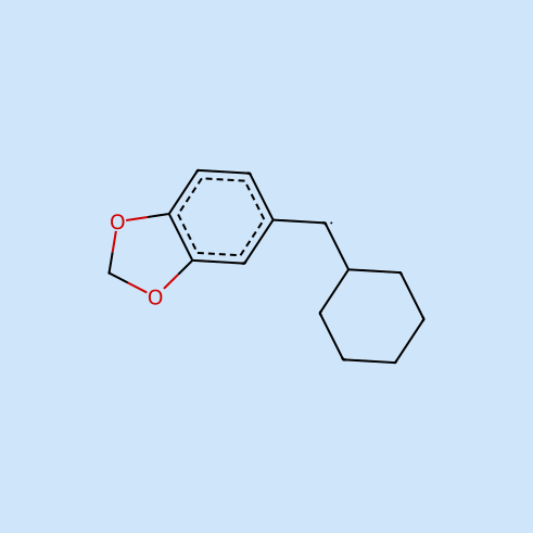 [CH](c1ccc2c(c1)OCO2)C1CCCCC1